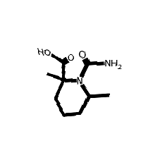 CC1CCCC(C)(C(=O)O)N1C(N)=O